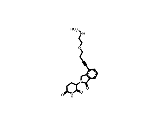 O=C(O)NCCOCCC#Cc1cccc2c1CN(C1CCC(=O)NC1=O)C2=O